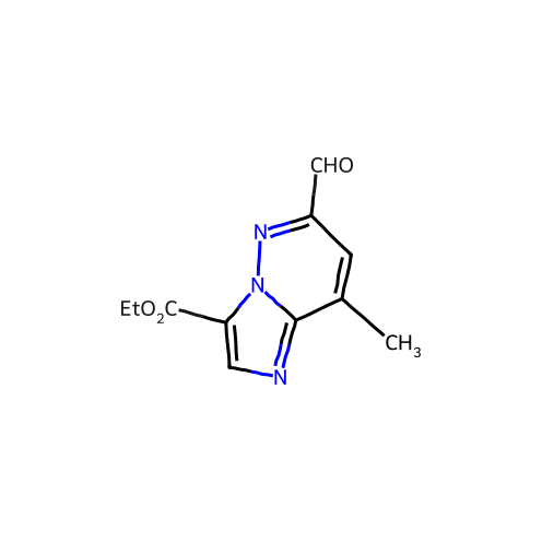 CCOC(=O)c1cnc2c(C)cc(C=O)nn12